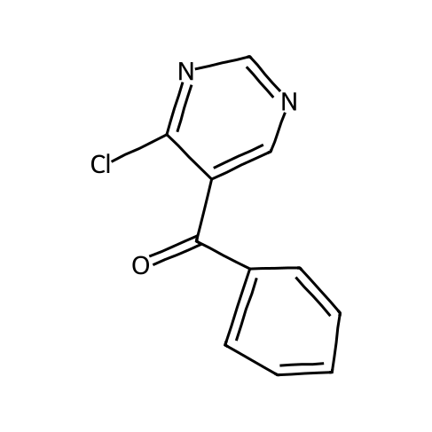 O=C(c1ccccc1)c1cncnc1Cl